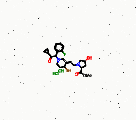 COC(=O)[C@@H]1C[C@@H](O)CN1CC=C1CN(C(C(=O)C2CC2)c2ccccc2F)CCC1S.Cl.Cl